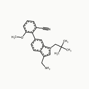 COc1cccc(C#N)c1-c1ccc2c(CN)cn(CC(C)(C)C)c2c1